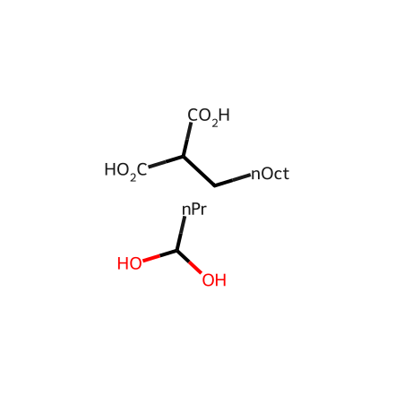 CCCC(O)O.CCCCCCCCCC(C(=O)O)C(=O)O